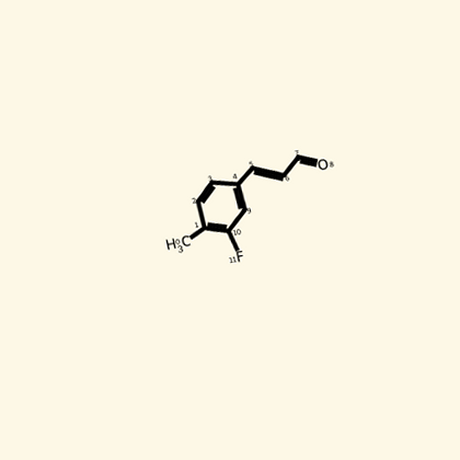 Cc1ccc(/C=C/[C]=O)cc1F